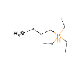 CC[PH](CC)(CC)CCC[SiH3]